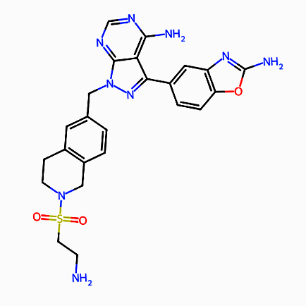 NCCS(=O)(=O)N1CCc2cc(Cn3nc(-c4ccc5oc(N)nc5c4)c4c(N)ncnc43)ccc2C1